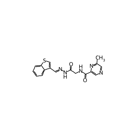 Cc1cncc(C(=O)NCC(=O)N/N=C/c2csc3ccccc23)n1